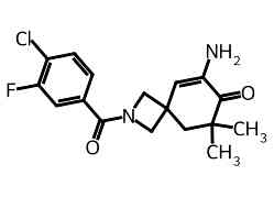 CC1(C)CC2(C=C(N)C1=O)CN(C(=O)c1ccc(Cl)c(F)c1)C2